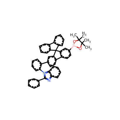 CC1(C)OB(c2ccc3c(c2)C2(c4ccccc4-c4ccccc42)c2cc(-c4ccccc4-n4c(-c5ccccc5)nc5ccccc54)ccc2-3)OC1(C)C